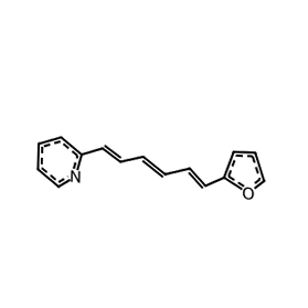 C(=CC=Cc1ccco1)C=Cc1ccccn1